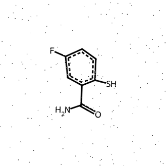 NC(=O)c1cc(F)ccc1S